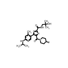 Cc1cc(NC(C)C)ncc1-c1sc(C(=O)NCC(C)(C)O)nc1C(=O)N1CCC(F)CC1